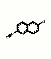 [C-]#[N+]c1ccc2cc(Cl)ccc2n1